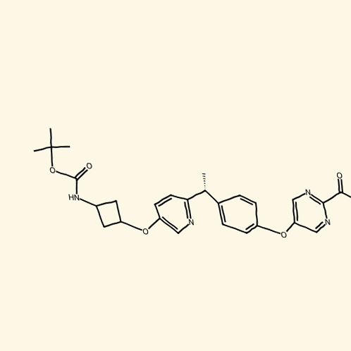 CC(=O)c1ncc(Oc2ccc([C@@H](C)c3ccc(OC4CC(NC(=O)OC(C)(C)C)C4)cn3)cc2)cn1